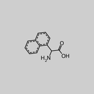 NC(C(=O)O)c1cccc2ccccc12